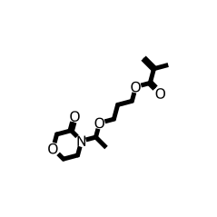 C=C(C)C(=O)OCCCOC(C)N1CCOCC1=O